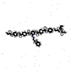 C=CC(=O)OCC(COc1ccc(OC(=O)C2CCC(C(=O)Oc3ccc(OC(=O)C4CCC(C(=O)Oc5ccc(OC(=O)C=C)cc5)CC4)c(/C=C/Cc4nc5ccccc5s4)c3)CC2)cc1)OC(=O)C=C